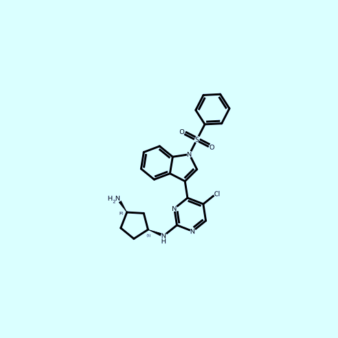 N[C@@H]1CC[C@H](Nc2ncc(Cl)c(-c3cn(S(=O)(=O)c4ccccc4)c4ccccc34)n2)C1